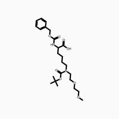 COCCOCCN(CCCCC(NC(=O)OCc1ccccc1)C(=O)O)C(=O)OC(C)(C)C